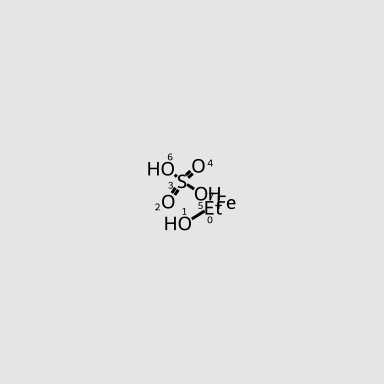 CCO.O=S(=O)(O)O.[Fe]